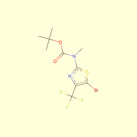 CN(C(=O)OC(C)(C)C)c1nc(C(F)(F)F)c(Br)s1